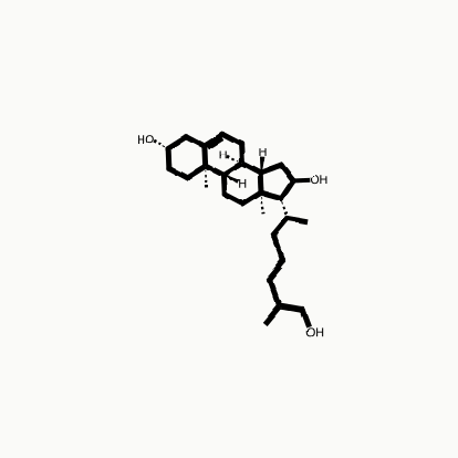 CC(CO)CCCC(C)[C@H]1C(O)C[C@H]2[C@@H]3CC=C4C[C@@H](O)CC[C@]4(C)[C@H]3CC[C@]12C